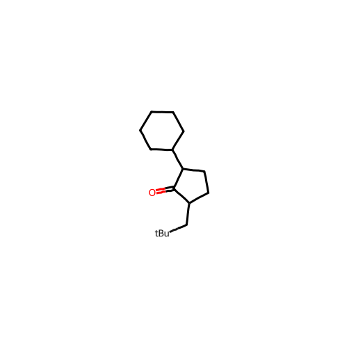 CC(C)(C)CC1CCC(C2CCCCC2)C1=O